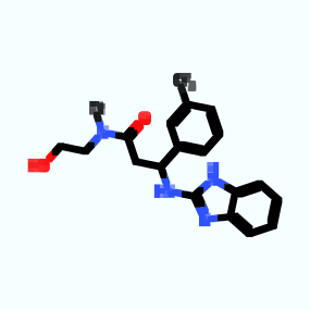 CCN(CCO)C(=O)CC(Nc1nc2ccccc2[nH]1)c1cccc(C(F)(F)F)c1